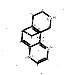 C1=CNC2=CC3CC4NCCC3=C4C2=N1